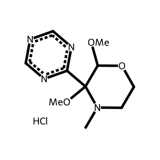 COC1OCCN(C)C1(OC)c1ncncn1.Cl